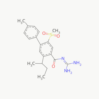 CCC(C)c1cc(-c2ccc(C)cc2)c(S(C)(=O)=O)cc1C(=O)N=C(N)N